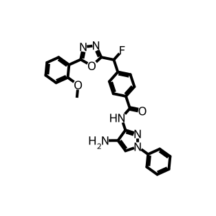 COc1ccccc1-c1nnc(C(F)c2ccc(C(=O)Nc3nn(-c4ccccc4)cc3N)cc2)o1